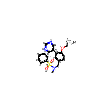 CN(Cc1ccc(OCC(=O)O)c(-c2cncnc2)c1)S(=O)(=O)c1ccccc1